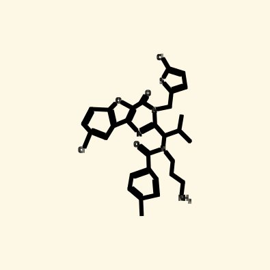 Cc1ccc(C(=O)N(CCCN)C(c2nc3c(oc4ccc(Cl)cc43)c(=O)n2Cc2ccc(Cl)s2)C(C)C)cc1